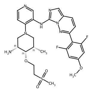 COc1cc(F)c(-c2ccc3cnc(Nc4cnccc4N4C[C@@H](N)[C@@H](OCCS(C)(=O)=O)[C@@H](C)C4)n3n2)c(F)c1